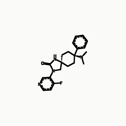 CN(C)[C@]1(c2ccccc2)CC[C@]2(CC1)CN(c1cnccc1F)C(=O)N2